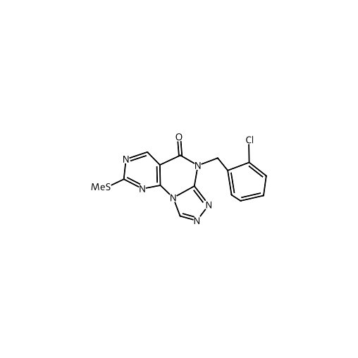 CSc1ncc2c(=O)n(Cc3ccccc3Cl)c3nncn3c2n1